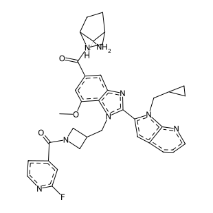 COc1cc(C(=O)N2CC3CCC2[C@@H]3N)cc2nc(-c3cc4cccnc4n3CC3CC3)n(CC3CN(C(=O)c4ccnc(F)c4)C3)c12